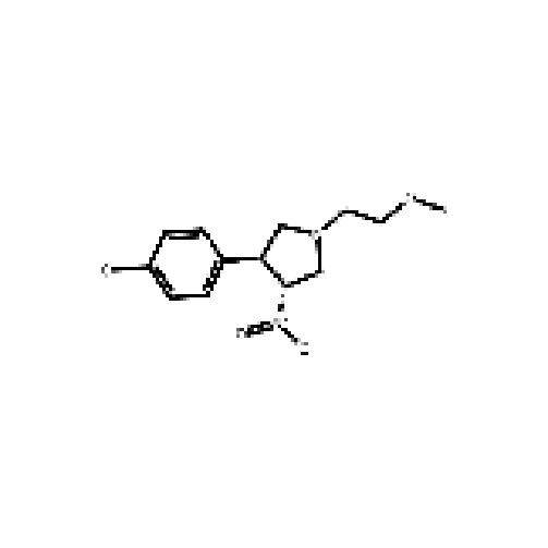 COCCN1C[C@H](c2ccc(Cl)cc2)[C@@H]([N+](=O)[O-])C1